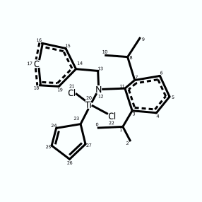 CC(C)c1cccc(C(C)C)c1[N](Cc1ccccc1)[Ti]([Cl])([Cl])[CH]1C=CC=C1